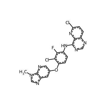 Cn1cnc2cc(Oc3ccc(Nc4ncnc5ccc(Cl)nc45)c(F)c3Cl)cnc21